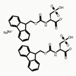 O=C(N[C@@H](CS(=O)(=O)O)C(=O)[O-])OCC1c2ccccc2-c2ccccc21.O=C(N[C@@H](CS(=O)(=O)O)C(=O)[O-])OCC1c2ccccc2-c2ccccc21.[Na+].[Na+]